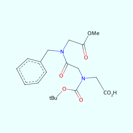 COC(=O)CN(Cc1ccccc1)C(=O)CN(CC(=O)O)C(=O)OC(C)(C)C